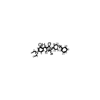 CCN(CC)c1ccc(C=C2C(=O)N(C3CCN(Cc4ccccc4)CC3)C(=S)N2C)c(O)c1